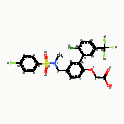 CN(Cc1ccc(OCC(=O)O)c(-c2cc(C(F)(F)F)ccc2Cl)c1)S(=O)(=O)c1ccc(F)cc1